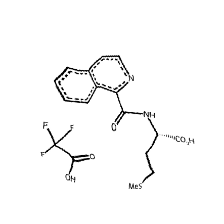 CSCC[C@H](NC(=O)c1nccc2ccccc12)C(=O)O.O=C(O)C(F)(F)F